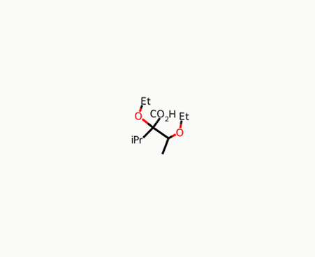 CCOC(C)C(OCC)(C(=O)O)C(C)C